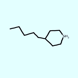 CCCCCC1CC[SiH2]CC1